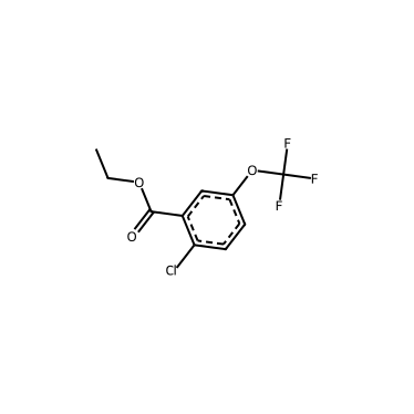 CCOC(=O)c1cc(OC(F)(F)F)ccc1Cl